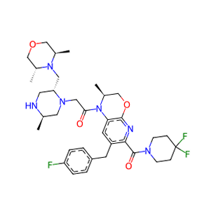 C[C@@H]1CN(CC(=O)N2c3cc(Cc4ccc(F)cc4)c(C(=O)N4CCC(F)(F)CC4)nc3OC[C@@H]2C)[C@@H](CN2[C@H](C)COC[C@H]2C)CN1